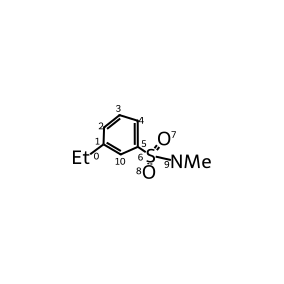 CCc1cccc(S(=O)(=O)NC)c1